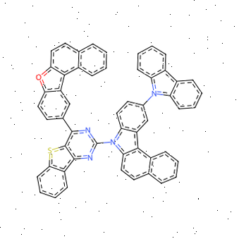 c1ccc2c(c1)ccc1oc3ccc(-c4nc(-n5c6ccc(-n7c8ccccc8c8ccccc87)cc6c6c7ccccc7ccc65)nc5c4sc4ccccc45)cc3c12